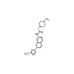 Cc1ncc(-c2ccc3cnc(NC(=O)CN4CCN(C)CC4)cc3c2)s1